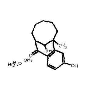 CC12CCCCCC(C(=O)c3ccc(O)cc31)C2N.Cl.O.O